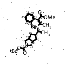 COC(=O)/C(=C(\C)NC(C)C1CC2CN(C(=O)OC(C)(C)C)CC2C1)c1ccccc1Br